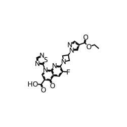 CCOC(=O)c1cnn(C2CN(c3nc4c(cc3F)c(=O)c(C(=O)O)cn4-c3ncns3)C2)c1